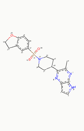 Cc1nc2[nH]ccc2nc1C1CCN(S(=O)(=O)c2ccc3c(c2)CCO3)CC1